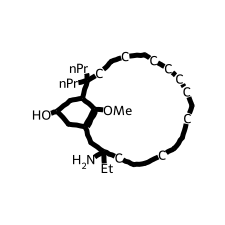 CCCC1(CCC)CCCCCCCCCCCCCCCCC(N)(CC)CC2=C(OC)C1CC(O)C2